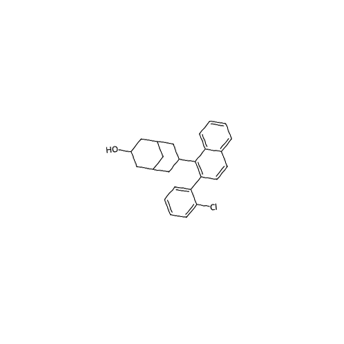 OC1CC2CC(C1)CC(c1c(-c3ccccc3Cl)ccc3ccccc13)C2